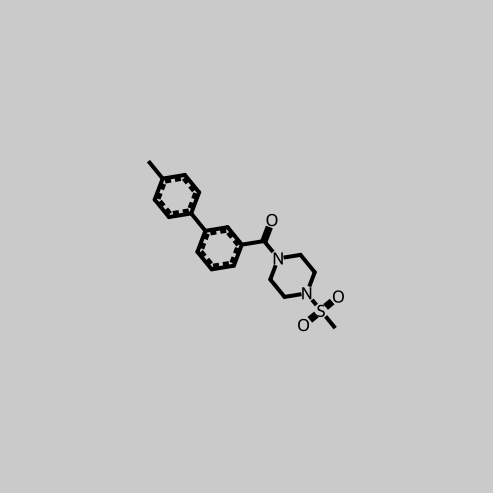 Cc1ccc(-c2cccc(C(=O)N3CCN(S(C)(=O)=O)CC3)c2)cc1